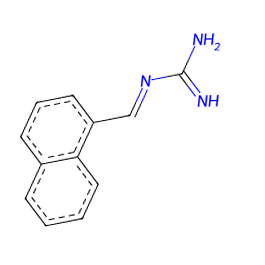 N=C(N)N=Cc1cccc2ccccc12